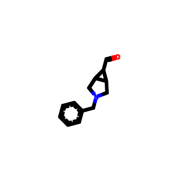 O=CC1C2CN(Cc3ccccc3)CC12